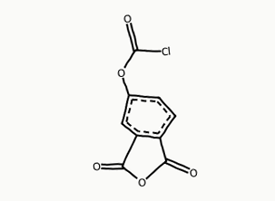 O=C(Cl)Oc1ccc2c(c1)C(=O)OC2=O